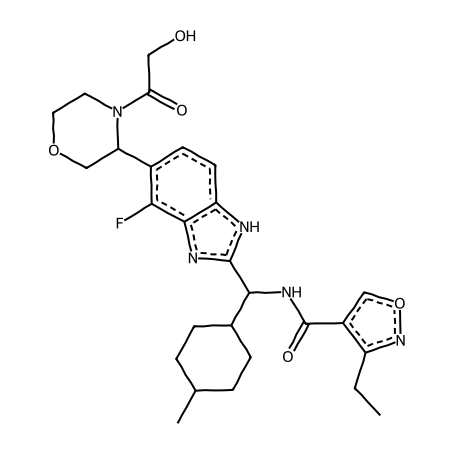 CCc1nocc1C(=O)NC(c1nc2c(F)c(C3COCCN3C(=O)CO)ccc2[nH]1)C1CCC(C)CC1